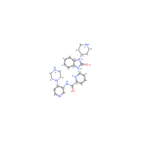 O=C(Nc1cnccc1N1CCNCC1)c1cccc(-n2c(=O)n(C3CCNCC3)c3ccccc32)n1